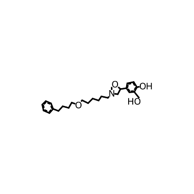 OCc1cc(C2CN(CCCCCCOCCCCc3ccccc3)CO2)ccc1O